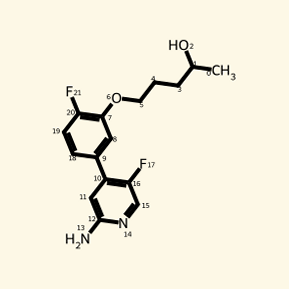 CC(O)CCCOc1cc(-c2cc(N)ncc2F)ccc1F